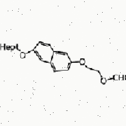 CCCCCCCOc1ccc2cc(OCCOC=O)ccc2c1